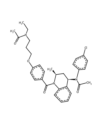 CCN(CCCOc1ccc(C(=O)N2c3ccccc3[C@H](N(C(C)=O)c3ccc(Cl)cc3)C[C@@H]2C)cc1)C(C)=O